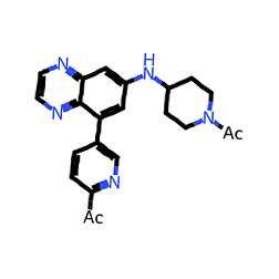 CC(=O)c1ccc(-c2cc(NC3CCN(C(C)=O)CC3)cc3nccnc23)cn1